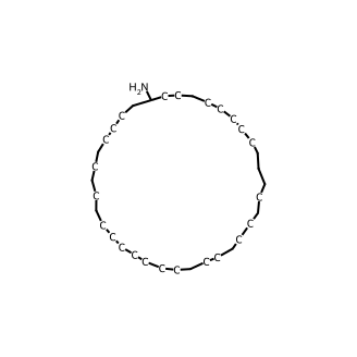 NC1CCCCCCCCCCCCCCCCCCCCCCCCCCCCCCCCCCC1